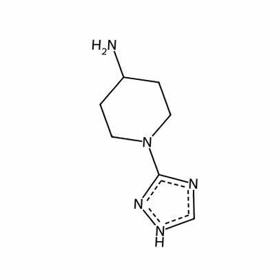 NC1CCN(c2nc[nH]n2)CC1